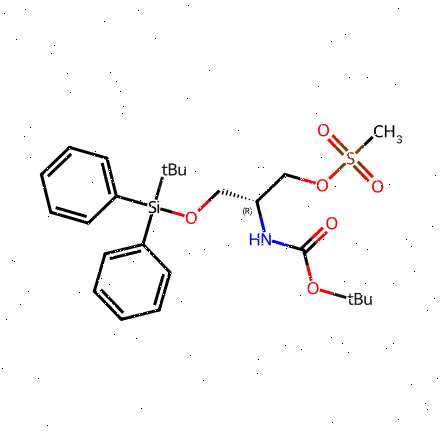 CC(C)(C)OC(=O)N[C@H](CO[Si](c1ccccc1)(c1ccccc1)C(C)(C)C)COS(C)(=O)=O